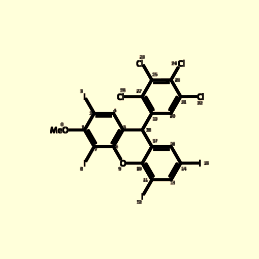 COc1c(I)cc2c(c1I)Oc1c(I)cc(I)cc1C2c1cc(Cl)c(Cl)c(Cl)c1Cl